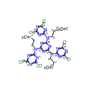 CCCCCCCCCCCCN(c1nc(Cl)nc(Cl)n1)c1nc(N(CCCCCCCCCCCC)c2nc(Cl)nc(Cl)n2)nc(N(CCCCCCCCCCCC)c2nc(Cl)nc(Cl)n2)n1